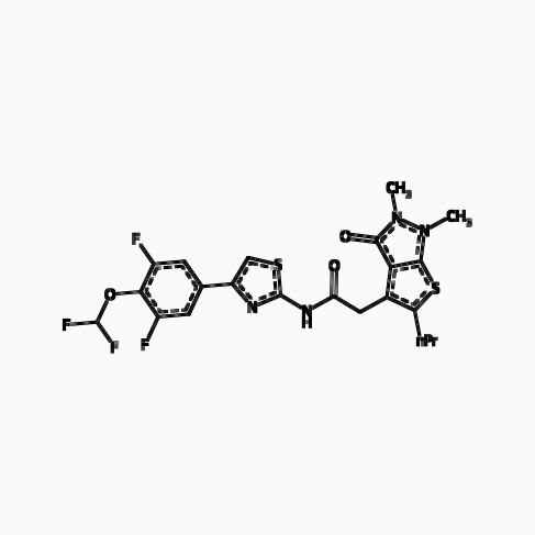 CCCc1sc2c(c1CC(=O)Nc1nc(-c3cc(F)c(OC(F)F)c(F)c3)cs1)c(=O)n(C)n2C